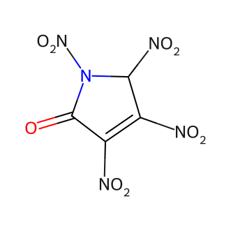 O=C1C([N+](=O)[O-])=C([N+](=O)[O-])C([N+](=O)[O-])N1[N+](=O)[O-]